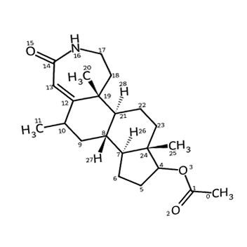 CC(=O)OC1CC[C@H]2[C@@H]3CC(C)C4=CC(=O)NCC[C@]4(C)[C@H]3CC[C@]12C